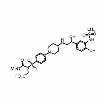 COC(=O)N(CC(=O)O)S(=O)(=O)c1ccc(N2CCC(NC[C@@H](O)c3ccc(O)c(NS(C)(=O)=O)c3)CC2)cc1